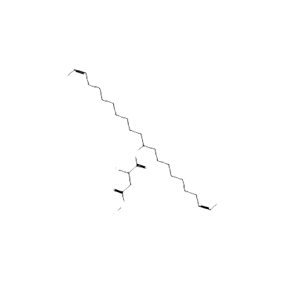 CCCCCCCC/C=C\CCCCCCCCC(CCCCCCC/C=C\CCCCCCCC)OC(=O)C(N)CC(=O)OC(C)(C)C